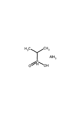 CC(C)[PH](=O)O.[AlH3]